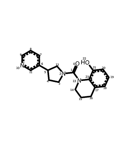 O=C(N1CCC(c2cccnc2)C1)N1CCCc2cccc(O)c21